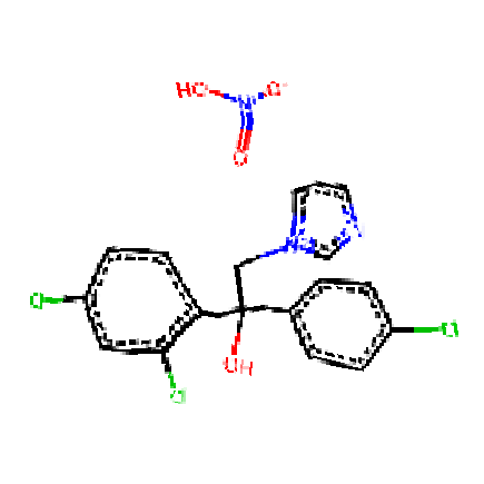 O=[N+]([O-])O.OC(Cn1ccnc1)(c1ccc(Cl)cc1)c1ccc(Cl)cc1Cl